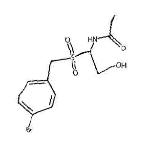 CC(=O)NC(CO)S(=O)(=O)Cc1ccc(Br)cc1